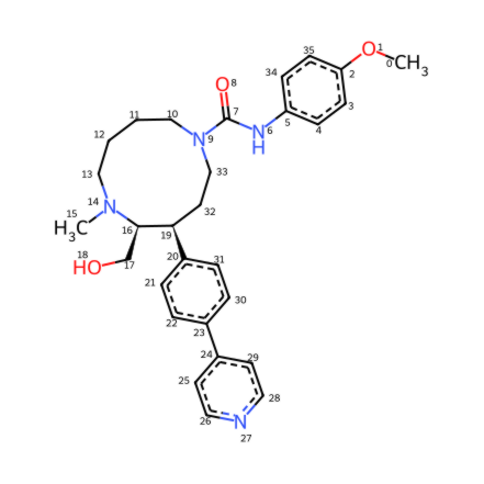 COc1ccc(NC(=O)N2CCCCN(C)[C@H](CO)[C@H](c3ccc(-c4ccncc4)cc3)CC2)cc1